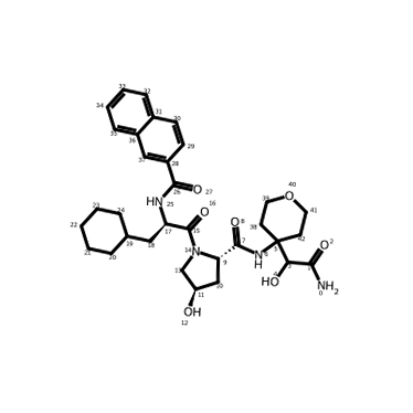 NC(=O)C(O)C1(NC(=O)[C@@H]2C[C@@H](O)CN2C(=O)[C@@H](CC2CCCCC2)NC(=O)c2ccc3ccccc3c2)CCOCC1